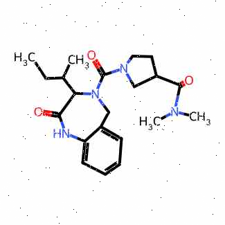 CCC(C)C1C(=O)Nc2ccccc2CN1C(=O)N1CCC(C(=O)N(C)C)C1